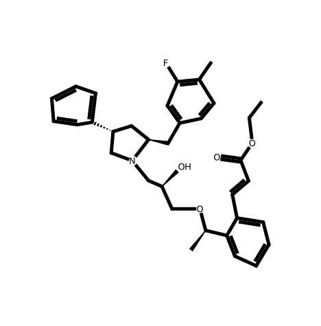 CCOC(=O)/C=C/c1ccccc1[C@@H](C)OC[C@H](O)CN1C[C@H](c2ccccc2)C[C@H]1Cc1ccc(C)c(F)c1